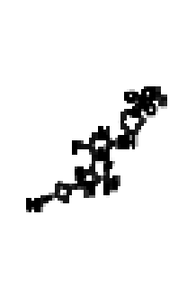 CS(=O)(=O)N1CCC(Nc2ncc(F)c(-c3sc([C@H]4C[C@@H](C#N)C4)nc3C(F)(F)F)n2)CC1